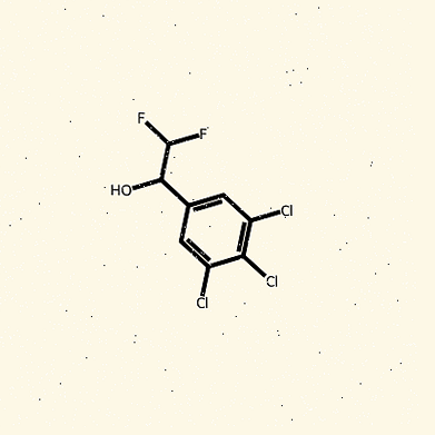 OC(c1cc(Cl)c(Cl)c(Cl)c1)C(F)F